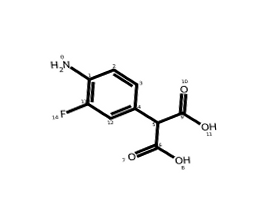 Nc1ccc(C(C(=O)O)C(=O)O)cc1F